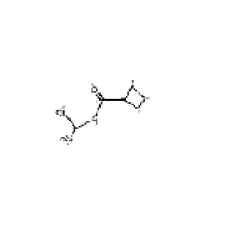 CCCCC(Cl)OC(=O)C1CCC1